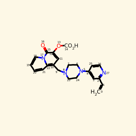 C=Cc1cc(N2CCN(Cc3cc(OC(=O)O)c(=O)n4ccccc34)CC2)ccn1